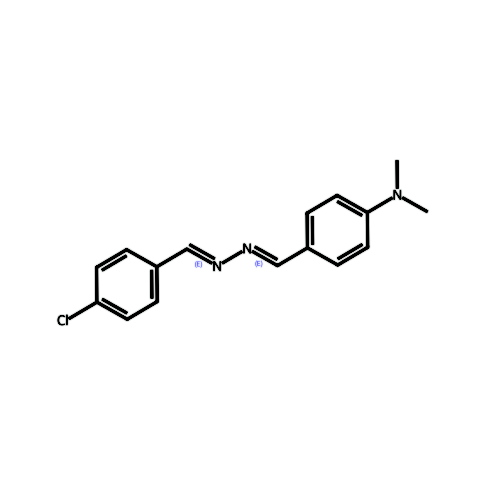 CN(C)c1ccc(/C=N/N=C/c2ccc(Cl)cc2)cc1